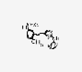 Cc1ccc(NC=O)cc1CCc1cnc(Nc2cnccn2)s1